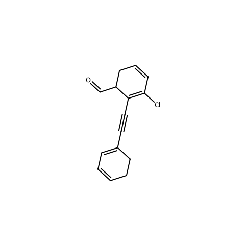 O=CC1CC=CC(Cl)=C1C#CC1=CC=CCC1